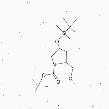 COCC1CC(O[Si](C)(C)C(C)(C)C)CN1C(=O)OC(C)(C)C